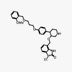 CCn1c(=O)[nH]c2c(COC3CNCCC3c3ccc(OCCCOCc4ccccc4OC)cc3)cccc21